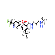 CC(C)(C)NCCCNCc1cc(C(C)(C)C)cc(-c2ccc(C(F)(F)F)nc2)c1O